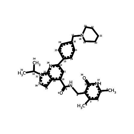 Cc1cc(C)c(CNC(=O)c2cc(-c3ccc(CN4CCCCC4)cc3)nc3c2cnn3C(C)C)c(=O)[nH]1